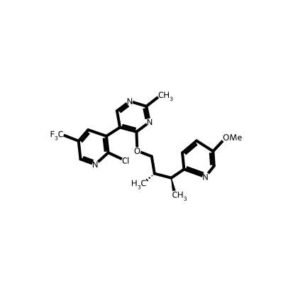 COc1ccc([C@@H](C)[C@H](C)COc2nc(C)ncc2-c2cc(C(F)(F)F)cnc2Cl)nc1